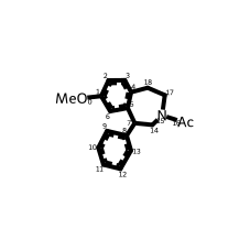 COc1ccc2c(c1)C(c1ccccc1)CN(C(C)=O)CC2